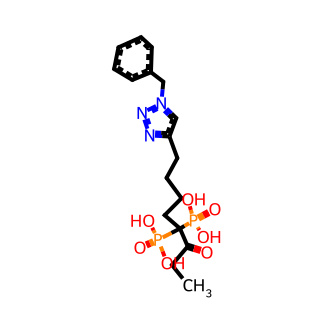 CCC(=O)C(CCCCc1cn(Cc2ccccc2)nn1)(P(=O)(O)O)P(=O)(O)O